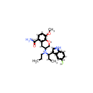 CCCN(C1COc2c(OC)ccc(C(N)=O)c2C1)C(CC)c1c[nH]c2ccc(F)cc12